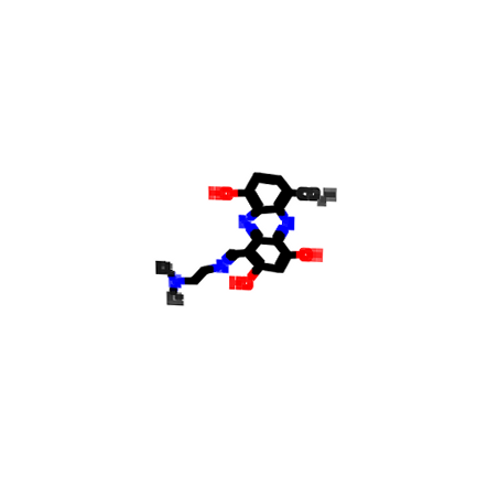 CCN(CC)CCN=Cc1c(O)cc(O)c2nc3c(C(=O)O)ccc(O)c3nc12